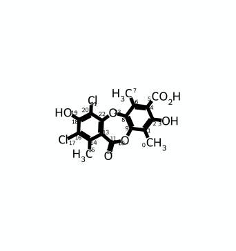 Cc1c(O)c(C(=O)O)c(C)c2c1OC(=O)c1c(C)c(Cl)c(O)c(Cl)c1O2